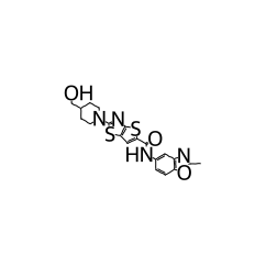 Cc1nc2cc(NC(=O)c3cc4sc(N5CCC(CO)CC5)nc4s3)ccc2o1